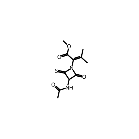 COC(=O)C(=C(C)C)N1C(=O)C(NC(C)=O)C1=S